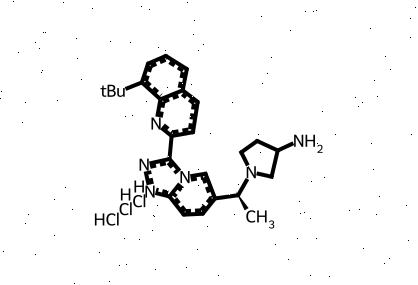 C[C@@H](c1ccc2nnc(-c3ccc4cccc(C(C)(C)C)c4n3)n2c1)N1CCC(N)C1.Cl.Cl.Cl